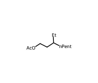 CCCCCC(CC)CCOC(C)=O